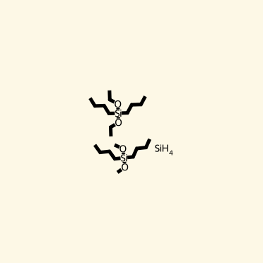 CCCC[Si](CCCC)(OC)OC.CCCC[Si](CCCC)(OCC)OCC.[SiH4]